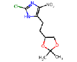 CC1(C)OCC(CCc2[nH]c(Cl)nc2[N+](=O)[O-])O1